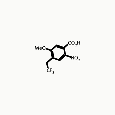 COc1cc(C(=O)O)c([N+](=O)[O-])cc1CC(F)(F)F